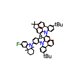 Cc1cc2c3c(c1)N(c1ccc(C(C)(C)C)cc1-c1ccccc1)c1cc4c(cc1B3c1ccc(N3c5ccc(F)cc5C5(C)CCCCC35C)cc1N2c1ccc(C(C)(C)C)cc1-c1ccccc1)CC(C)(C)C4